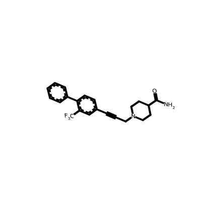 NC(=O)C1CCN(CC#Cc2ccc(-c3ccccc3)c(C(F)(F)F)c2)CC1